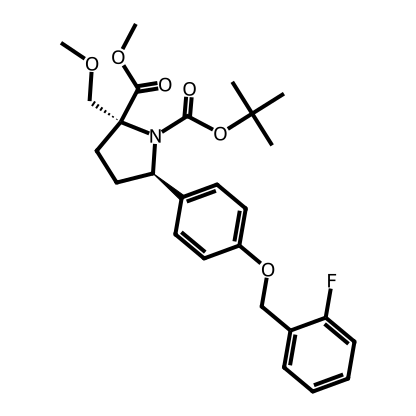 COC[C@@]1(C(=O)OC)CC[C@H](c2ccc(OCc3ccccc3F)cc2)N1C(=O)OC(C)(C)C